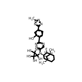 Cn1nnc(-c2ccc(-c3ncc(N([C@@H]4C[C@@]5(C)CCC[C@](C)(C5)[C@@H]4F)C4(S)C(S)(S)C4(S)S)nn3)c(O)c2)n1